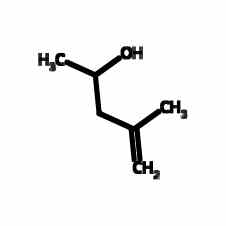 C=C(C)CC(C)O